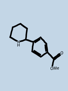 COC(=O)c1ccc(C2CCCCN2)cc1